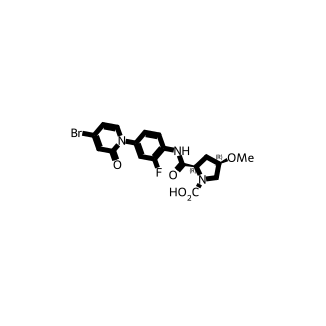 CO[C@@H]1C[C@H](C(=O)Nc2ccc(-n3ccc(Br)cc3=O)cc2F)N(C(=O)O)C1